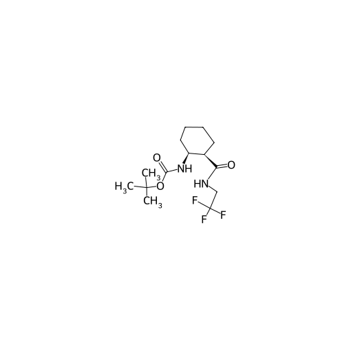 CC(C)(C)OC(=O)N[C@H]1CCCC[C@H]1C(=O)NCC(F)(F)F